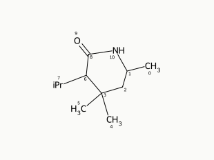 CC1CC(C)(C)C(C(C)C)C(=O)N1